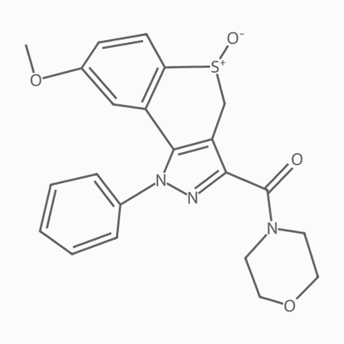 COc1ccc2c(c1)-c1c(c(C(=O)N3CCOCC3)nn1-c1ccccc1)C[S+]2[O-]